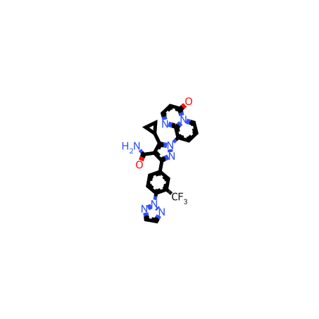 NC(=O)c1c(-c2ccc(-n3nccn3)c(C(F)(F)F)c2)nn(-c2cccn3c(=O)ccnc23)c1C1CC1